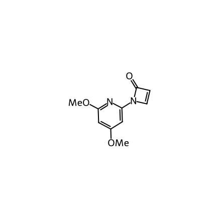 COc1cc(OC)nc(N2C=CC2=O)c1